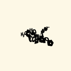 C[C@@]12C[C@@H]1N(C(=O)CNC(=O)c1ccc(Oc3ccccc3)c(CN=[N+]=[N-])c1)[C@H](C(=O)O)C2